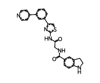 O=C(CNC(=O)c1ccc2c(c1)CCN2)Nc1nc(-c2cccc(-c3ccncc3)c2)cs1